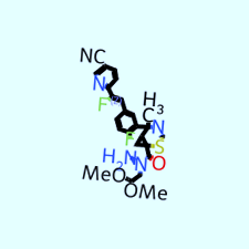 COC(CN(N)C(=O)C12CC1C(C)(c1cc(/C=C(\F)c3ccc(C#N)cn3)ccc1F)N=CS2)OC